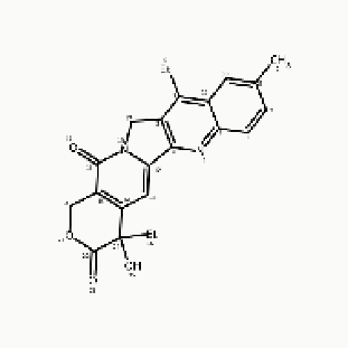 CCc1c2c(nc3ccc(C)cc13)-c1cc3c(c(=O)n1C2)COC(=O)C3(O)CC